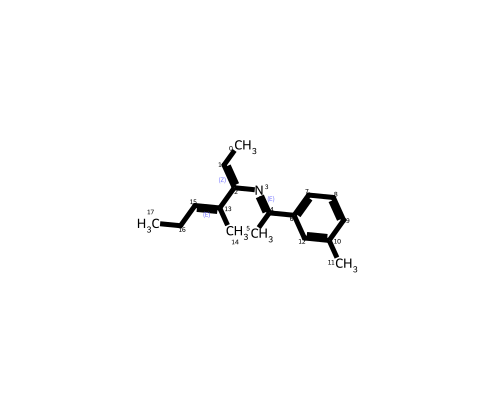 C/C=C(\N=C(/C)c1cccc(C)c1)C(/C)=C/CC